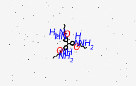 CCCC[C@H](N)C(=O)Nc1ccc(C(c2ccc(NC(=O)[C@@H](N)CCCC)cc2)c2ccc(NC(=O)[C@@H](N)CCCC)cc2)cc1